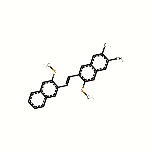 CSc1cc2ccccc2cc1/C=C/c1cc2cc(C)c(C)cc2cc1SC